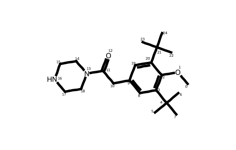 COc1c(C(C)(C)C)cc(CC(=O)N2CCNCC2)cc1C(C)(C)C